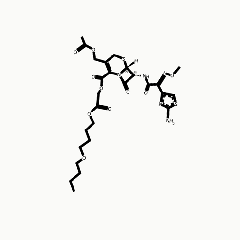 CCCCOCCCCOC(=O)COC(=O)C1=C(COC(C)=O)CS[C@@H]2[C@H](NC(=O)C(=NOC)c3csc(N)n3)C(=O)N12